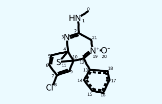 CNC1=NC23C=CC(Cl)=CC2(S3)C(c2ccccc2)=[N+]([O-])C1